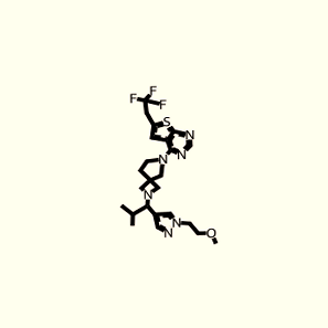 COCCn1cc(C(C(C)C)N2CC3(CCN(c4ncnc5sc(CC(F)(F)F)cc45)C3)C2)cn1